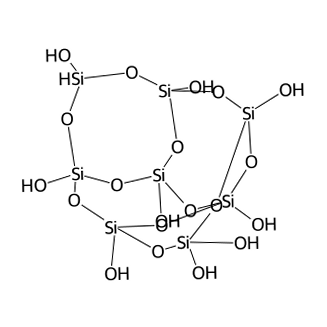 O[SiH]1O[Si]2(O)O[Si]3(O)O[Si](O)(O)O[Si]4(O)O[Si](O)(O1)O[Si](O)(O2)O[Si](O)(O3)O4